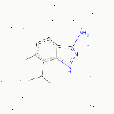 Cc1ccc2c(N)n[nH]c2c1C(C)C